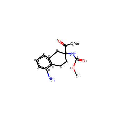 COC(=O)C1(NC(=O)OC(C)(C)C)CCc2c(N)cccc2C1